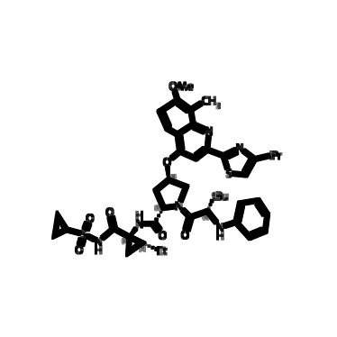 CC[C@@H]1C[C@]1(NC(=O)[C@@H]1C[C@@H](Oc2cc(-c3nc(C(C)C)cs3)nc3c(C)c(OC)ccc23)CN1C(=O)[C@@H](Nc1ccccc1)C(C)(C)C)C(=O)NS(=O)(=O)C1CC1